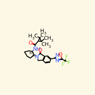 CC1(C)C(C(=O)N[C@@H]2CCCC[C@H]2N2Cc3ccc(-c4noc(C(F)(F)F)n4)cc3C2=O)C1(C)C